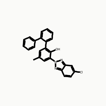 Cc1cc(-c2ccccc2-c2ccccc2)c(O)c(-n2nc3ccc(Cl)cc3n2)c1